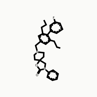 CCCc1cc(CN2CCC3(CC2)CN(c2ccccc2)C(=O)O3)cc(CCC)c1-c1cccc(F)c1